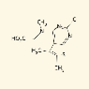 Cc1sc2nc(Cl)nc(N(C)CC(=O)O)c2c1C